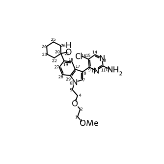 COCCOCCn1cc(-c2nc(N)ncc2Cl)c2cc(C3(O)CCCCC3)ccc21